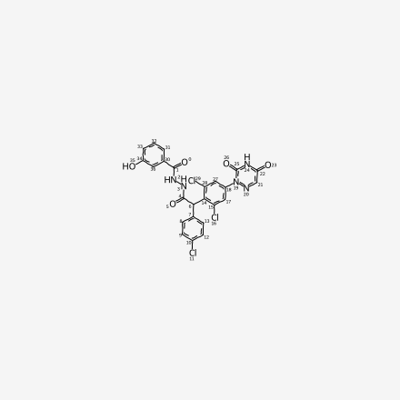 O=C(NNC(=O)C(c1ccc(Cl)cc1)c1c(Cl)cc(-n2ncc(=O)[nH]c2=O)cc1Cl)c1cccc(O)c1